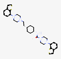 O=C(N[C@H]1CC[C@H](CCN2CCN(c3cccc4ccsc34)CC2)CC1)N1CCN(c2cccc3ccsc23)CC1